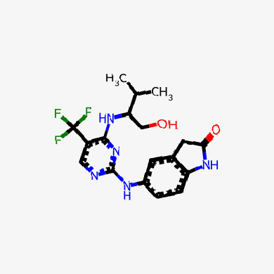 CC(C)C(CO)Nc1nc(Nc2ccc3c(c2)CC(=O)N3)ncc1C(F)(F)F